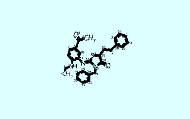 CCNc1ccc(C(C)=O)cc1/N=C1\SC(CCc2ccccc2)C(=O)N1Cc1ccccc1